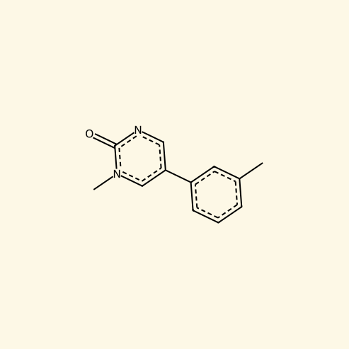 Cc1cccc(-c2cnc(=O)n(C)c2)c1